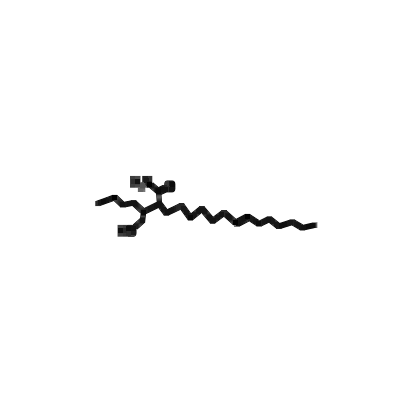 CCCCCCC=CCCCCCCC(C(N)=O)C(CO)CCCC